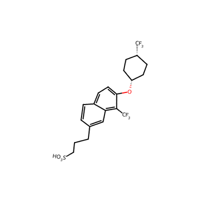 O=S(=O)(O)CCCc1ccc2ccc(O[C@H]3CC[C@@H](C(F)(F)F)CC3)c(C(F)(F)F)c2c1